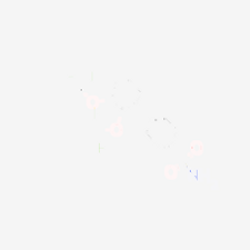 NS(=O)(=O)c1ccc(-c2cccc(OC(F)(F)F)c2OC(F)(F)F)cc1